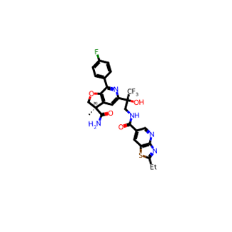 CCc1nc2ncc(C(=O)NCC(O)(c3cc4c(c(-c5ccc(F)cc5)n3)OC[C@]4(C)C(N)=O)C(F)(F)F)cc2s1